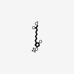 COCC(=O)CCCCCCC1=CC(O[Si](C)(C)C)CC1=O